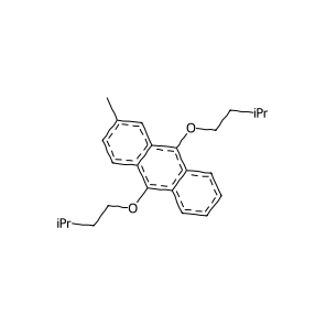 Cc1ccc2c(OCCC(C)C)c3ccccc3c(OCCC(C)C)c2c1